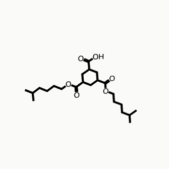 CC(C)CCCCOC(=O)C1CC(C(=O)O)CC(C(=O)OCCCCC(C)C)C1